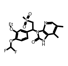 CCOc1cc(C(CS(C)(=O)=O)n2c(=O)[nH]c3c(C)c(C)cnc32)ccc1OC(F)F